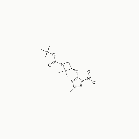 Cn1cc([N+](=O)[O-])c(O[C@@H]2CN(C(=O)OC(C)(C)C)C2(C)C)n1